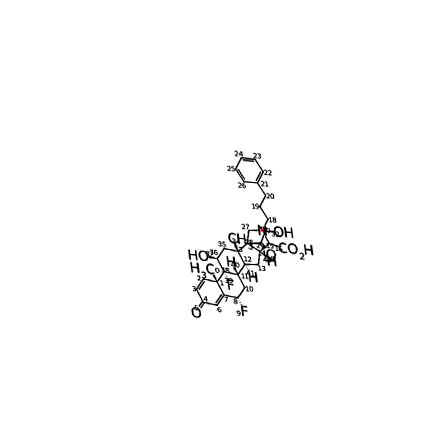 C[C@]12C=CC(=O)C=C1[C@@H](F)C[C@H]1[C@@H]3C[C@H]4C(C(=O)O)N(CCCc5ccccc5)C[C@@]4(C(=O)CO)[C@@]3(C)C[C@H](O)[C@@]12F